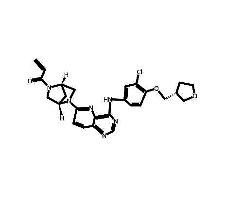 C=CC(=O)N1C[C@@H]2C[C@H]1CN2c1ccc2ncnc(Nc3ccc(OC[C@@H]4CCOC4)c(Cl)c3)c2n1